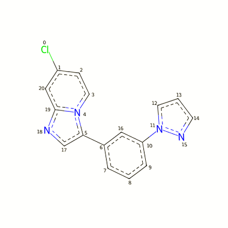 Clc1ccn2c(-c3cccc(-n4cccn4)c3)cnc2c1